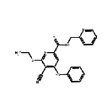 CCOc1nc(C(=O)NCc2ccccn2)cc(Nc2ccccc2)c1C#N